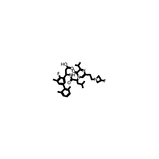 Cc1cc(-c2c(C)cccc2C)cc(C(CC(=O)O)NC(=O)C(CC(C)C)n2cc(CCN3CC(F)C3)nc(C(C)C)c2=O)c1F